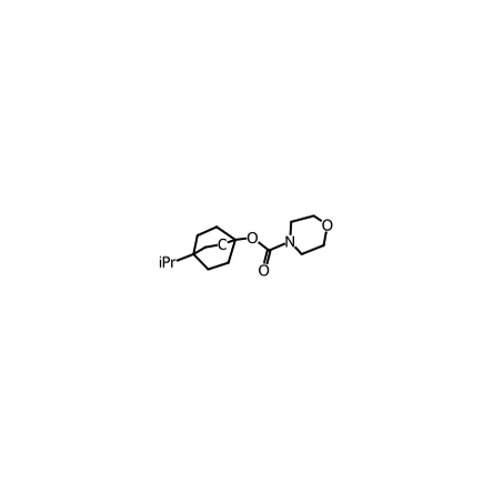 CC(C)C12CCC(OC(=O)N3CCOCC3)(CC1)CC2